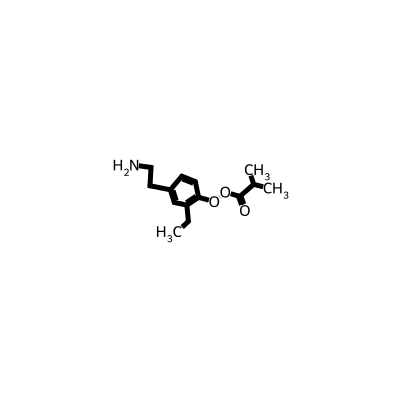 CCc1cc(CCN)ccc1OOC(=O)C(C)C